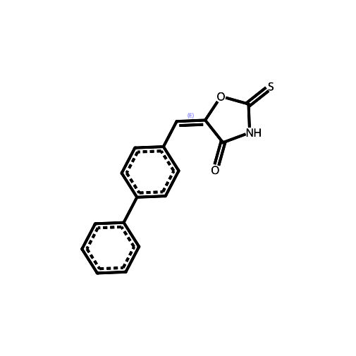 O=C1NC(=S)O/C1=C/c1ccc(-c2ccccc2)cc1